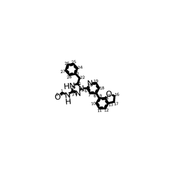 O=CNC1=NN(c2cc(-c3cccc4c3OCC4)ccn2)C(Cc2ccccc2)N1